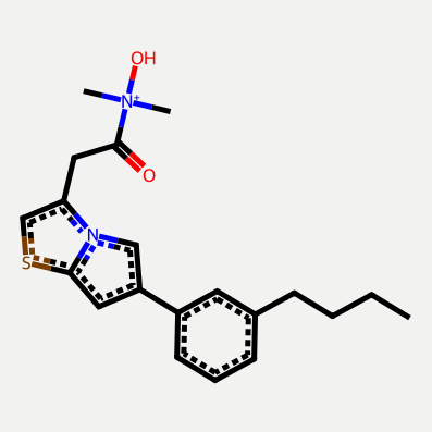 CCCCc1cccc(-c2cc3scc(CC(=O)[N+](C)(C)O)n3c2)c1